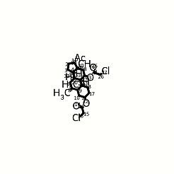 CC(=O)[C@H]1CC[C@H]2[C@@H]3CC(C)C4CC(OC(=O)CCl)CC[C@]4(C)[C@H]3C(OC(=O)CCl)C[C@]12C